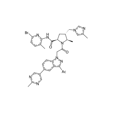 CC(=O)c1nn(CC(=O)N2[C@@H](C(=O)Nc3nc(Br)ccc3C)C[C@H](Cn3cnc(C)c3)[C@H]2C)c2ccc(-c3cnc(C)nc3)cc12